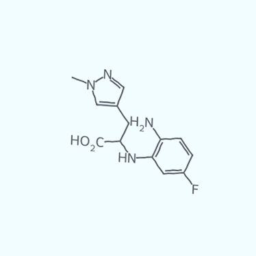 Cn1cc(CC(Nc2cc(F)ccc2N)C(=O)O)cn1